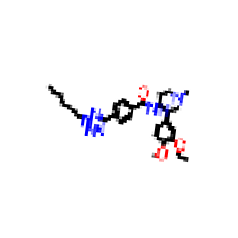 CCCCCCn1nnc(-c2ccc(C(=O)NC3CCN(C)CC3c3ccc(OC)c(OCC)c3)cc2)n1